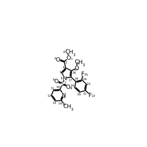 COC(=O)c1cn(S(=O)(=O)c2cccc(C)n2)c(-c2ccc(F)cc2F)c1OC